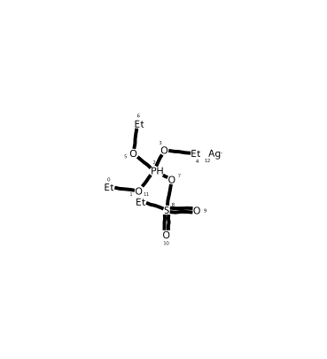 CCO[PH](OCC)(OCC)OS(=O)(=O)CC.[Ag]